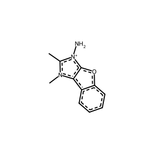 Cc1n(C)c2c3ccccc3oc2[n+]1N